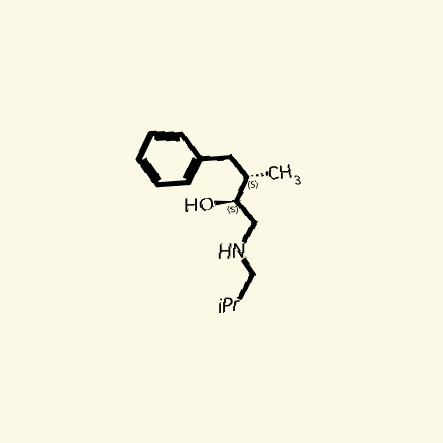 CC(C)CNC[C@@H](O)[C@@H](C)Cc1ccccc1